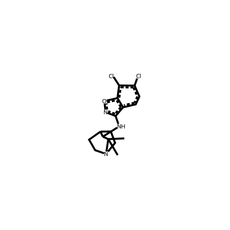 CC1(C)C(Nc2noc3c(Cl)c(Cl)ccc23)C2CCN1CC2